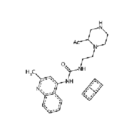 CC(=O)C1CNCCN1CCNC(=O)Nc1cc(C)nc2ccccc12.c1cc2ccc1-2